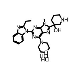 CCc1nc2ccccc2n1-c1nc(N2CCOCC2)c2nc(C3(O)CCCNC3)n(C)c2n1.Cl.Cl